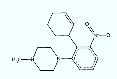 CN1CCN(c2cccc([N+](=O)[O-])c2C2C=CCCC2)CC1